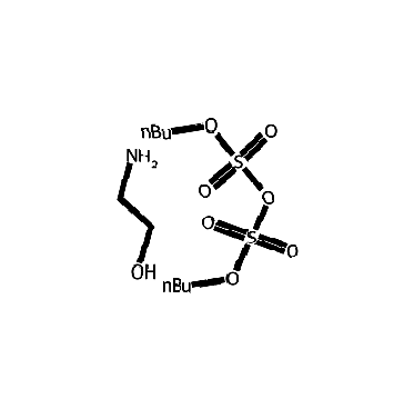 CCCCOS(=O)(=O)OS(=O)(=O)OCCCC.NCCO